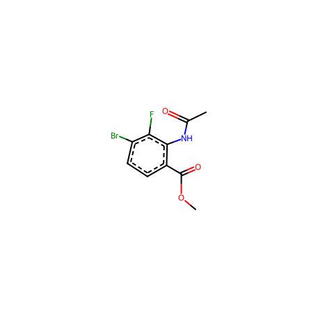 COC(=O)c1ccc(Br)c(F)c1NC(C)=O